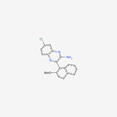 COc1ccc2ccccc2c1-c1nc2ccc(Cl)cc2nc1N